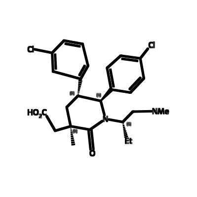 CC[C@@H](CNC)N1C(=O)[C@@](C)(CC(=O)O)C[C@H](c2cccc(Cl)c2)[C@H]1c1ccc(Cl)cc1